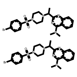 CC(c1nc(N(C)C)c2ccccc2n1)N1CCN(S(=O)(=O)c2ccc(Br)cc2)CC1.CC(c1nc(N(C)C)c2ccccc2n1)N1CCN(S(=O)(=O)c2ccc(Br)cc2)CC1